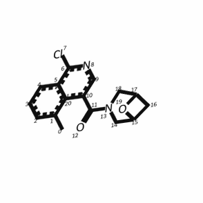 Cc1cccc2c(Cl)ncc(C(=O)N3CC4CC(C3)O4)c12